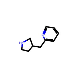 c1ccc(CC2CCNC2)nc1